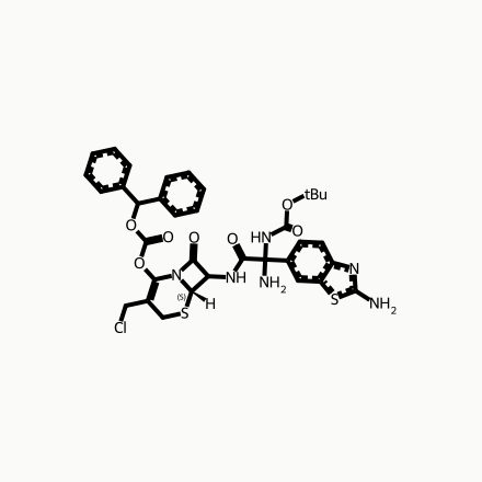 CC(C)(C)OC(=O)NC(N)(C(=O)NC1C(=O)N2C(OC(=O)OC(c3ccccc3)c3ccccc3)=C(CCl)CS[C@@H]12)c1ccc2nc(N)sc2c1